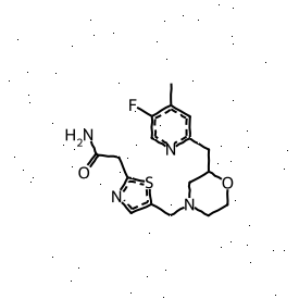 Cc1cc(CC2CN(Cc3cnc(CC(N)=O)s3)CCO2)ncc1F